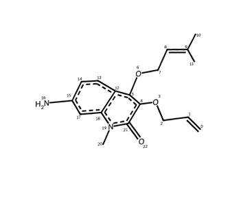 C=CCOc1c(OCC=C(C)C)c2ccc(N)cc2n(C)c1=O